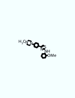 COc1ccccc1Nc1nc(-c2ccc(N3CCN(C)CC3)cc2)cs1